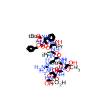 CC[C@H](C)[C@H](NC(=O)[C@@H](CCCNC(=N)N)NC(=O)[C@H](CC(C)C)NC(=O)[C@@H](NC(=O)[C@@H](NC(=O)OCc1ccccc1)[C@H](NC(=O)OC(C)(C)C)c1ccccc1)[C@H](O)C(C)C)C(=O)N[C@H](C(=O)NCC(=O)N[C@H](C(=O)N[C@@H](CO)C(=O)O)[C@H](O)C(N)=O)[C@H](C)O